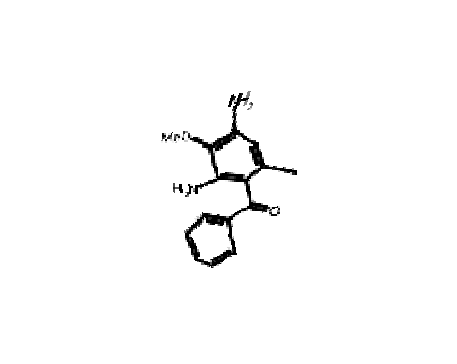 COc1c(N)cc(C)c(C(=O)c2ccccc2)c1N